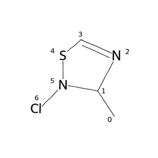 CC1N=CSN1Cl